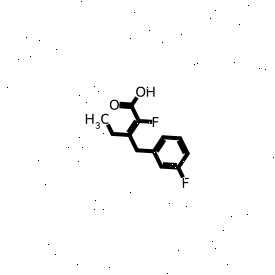 CCC(Cc1cccc(F)c1)=C(F)C(=O)O